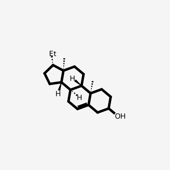 CC[C@H]1CC[C@H]2[C@@H]3CC=C4CC(O)CC[C@]4(C)[C@H]3CC[C@]12C